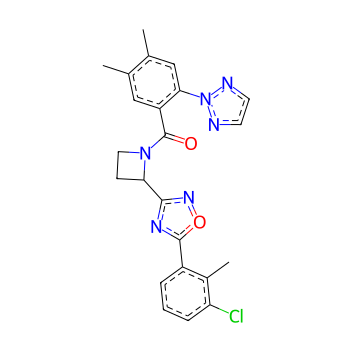 Cc1cc(C(=O)N2CCC2c2noc(-c3cccc(Cl)c3C)n2)c(-n2nccn2)cc1C